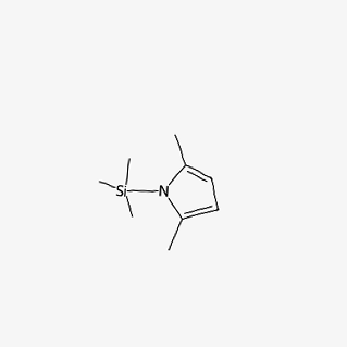 Cc1ccc(C)n1[Si](C)(C)C